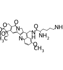 CC[C@@]1(O)C(=O)OCc2c1cc1n(c2=O)Cc2c-1nc1ccc(OC)cc1c2CNC(=O)C(N)CCCCN